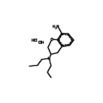 CCCN(CCC)C1COc2c(N)cccc2C1.Cl.Cl